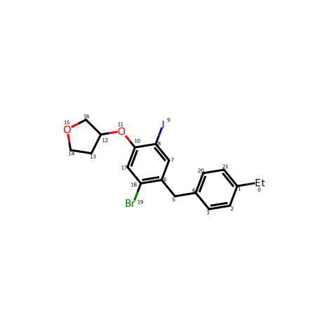 CCc1ccc(Cc2cc(I)c(OC3CCOC3)cc2Br)cc1